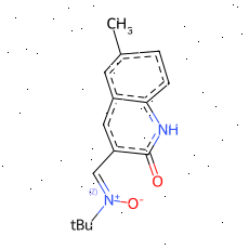 Cc1ccc2[nH]c(=O)c(/C=[N+](\[O-])C(C)(C)C)cc2c1